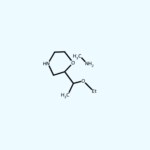 CCOC(C)C1CNCCO1.CN